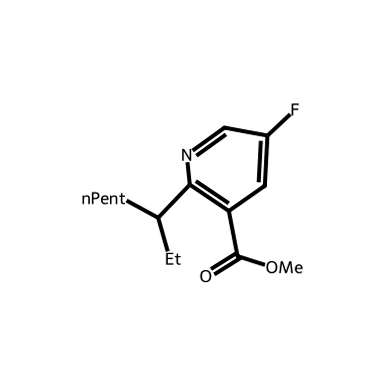 CCCCCC(CC)c1ncc(F)cc1C(=O)OC